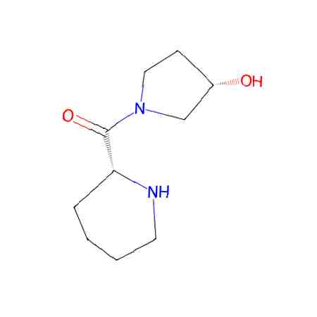 O=C([C@H]1CCCCN1)N1CC[C@H](O)C1